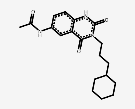 CC(=O)Nc1ccc2[nH]c(=O)n(CCCC3CCCCC3)c(=O)c2c1